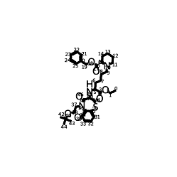 CCOC(=O)C(CCCCN1CCCC[C@H]1C(=O)OCc1ccccc1)N[C@H]1CSc2ccccc2N(CC(=O)OC(C)(C)C)C1=O